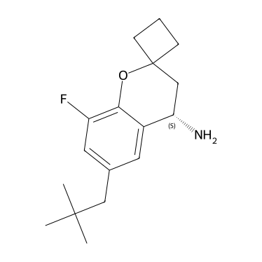 CC(C)(C)Cc1cc(F)c2c(c1)[C@@H](N)CC1(CCC1)O2